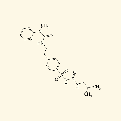 CC(C)CNC(=O)NS(=O)(=O)c1ccc(CCNC(=O)N(C)c2ccccn2)cc1